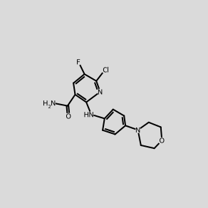 NC(=O)c1cc(F)c(Cl)nc1Nc1ccc(N2CCOCC2)cc1